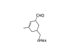 CCCCCCCC1CC(C)=CC(C=O)C1